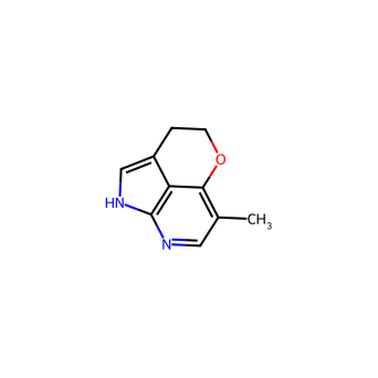 Cc1cnc2[nH]cc3c2c1OCC3